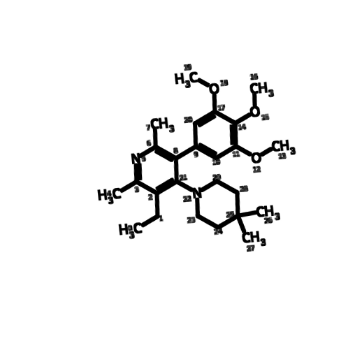 CCc1c(C)nc(C)c(-c2cc(OC)c(OC)c(OC)c2)c1N1CCC(C)(C)CC1